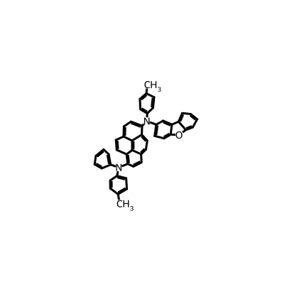 Cc1ccc(N(c2ccccc2)c2ccc3ccc4c(N(c5ccc(C)cc5)c5ccc6oc7ccccc7c6c5)ccc5ccc2c3c54)cc1